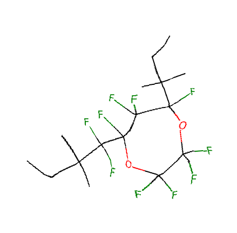 CCC(C)(C)C(F)(F)C1(F)OC(F)(F)C(F)(F)OC(F)(C(C)(C)CC)C1(F)F